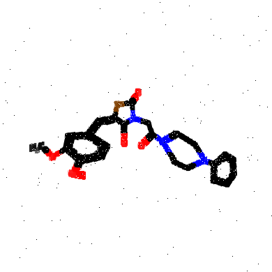 COc1cc(C=C2SC(=O)N(CC(=O)N3CCN(c4ccccc4)CC3)C2=O)ccc1O